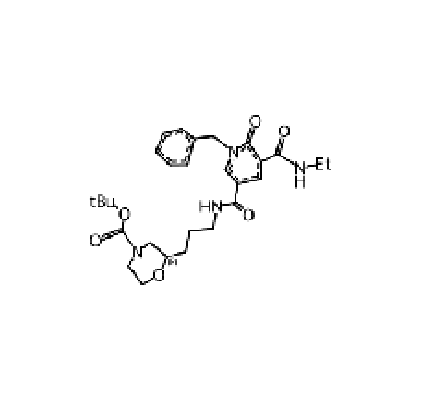 CCNC(=O)c1cc(C(=O)NCCC[C@@H]2CN(C(=O)OC(C)(C)C)CCO2)cn(Cc2ccccc2)c1=O